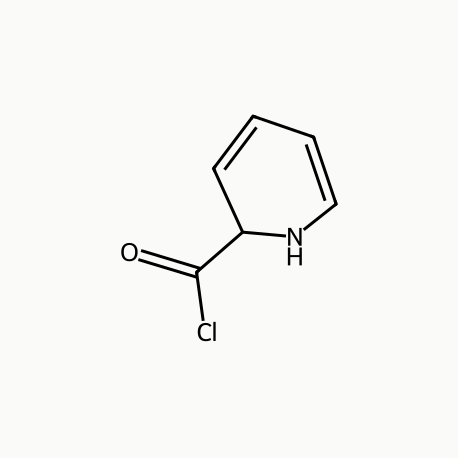 O=C(Cl)C1C=CC=CN1